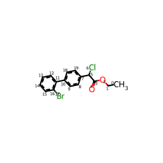 CCOC(=O)C(Cl)c1ccc(-c2ccccc2Br)cc1